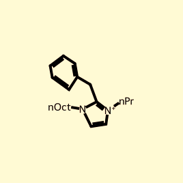 CCCCCCCCn1cc[n+](CCC)c1Cc1ccccc1